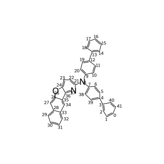 c1ccc(-c2ccc(N(c3ccc(-c4ccccc4)cc3)c3ccc4oc5cc6ccccc6cc5c4n3)cc2)cc1